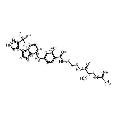 N=C(N)NC[C@H](N)C(=O)NCCCNC(=O)c1ccc(Nc2nccn3c(-c4c[nH]nc4C(F)(F)F)cnc23)cc1Cl